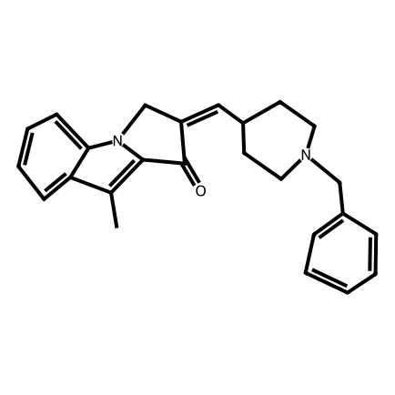 Cc1c2n(c3ccccc13)CC(=CC1CCN(Cc3ccccc3)CC1)C2=O